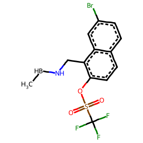 CBNCc1c(OS(=O)(=O)C(F)(F)F)ccc2ccc(Br)cc12